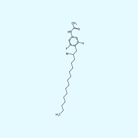 CCCCCCCCCCCCCCC(Br)Cc1c(F)cc(NC(C)=O)cc1F